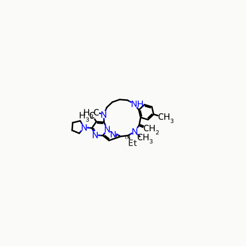 C=C1c2cc(C)ccc2NCCCCN(C)c2c(C)c(N3CCCC3)nc3cc(nn23)[C@H](CC)N1C